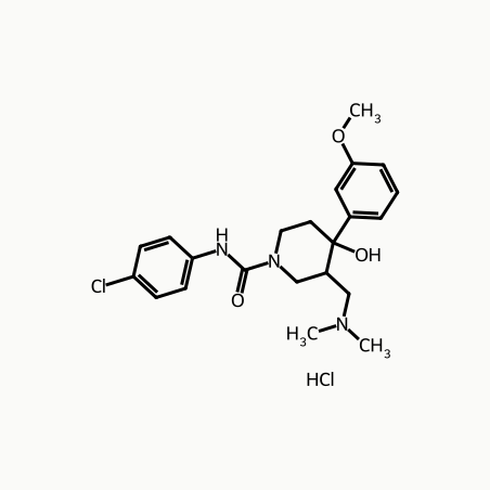 COc1cccc(C2(O)CCN(C(=O)Nc3ccc(Cl)cc3)CC2CN(C)C)c1.Cl